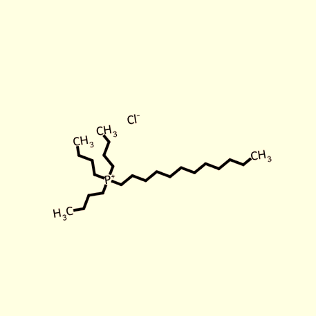 CCCCCCCCCCCC[P+](CCCC)(CCCC)CCCC.[Cl-]